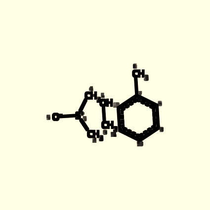 CO.C[S+](C)[O-].Cc1ccccc1